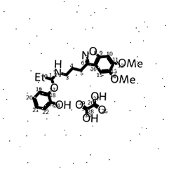 CCC(NCCCc1noc2cc(OC)c(OC)cc12)Oc1ccccc1O.O=C(O)C(=O)O